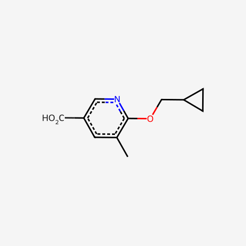 Cc1cc(C(=O)O)cnc1OCC1CC1